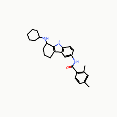 Cc1ccc(C(=O)Nc2ccc3[nH]c4c(c3c2)CCCC4NC2CCCCC2)c(C)c1